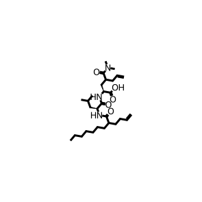 C=CCCC(CCCCCCC)C(=O)N[C@@H](CC(C)C)C(=O)N[C@@H](CC(CC=C)C(=O)N(C)C)C(=O)O